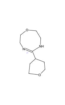 C1COCCN/C(C2CCOCC2)=N\1